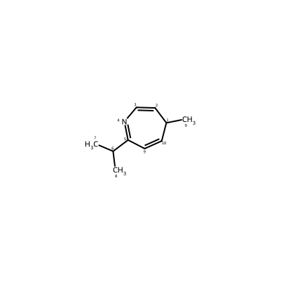 CC1C=CN=C(C(C)C)C=C1